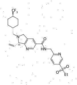 C=C[C@H]1c2ncc(C(=O)NCc3ccc(S(=O)(=O)CC)cn3)cc2CN1C[C@H]1CC[C@H](C(F)(F)F)CC1